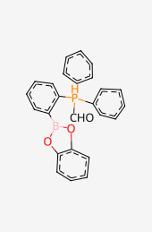 O=C[PH](c1ccccc1)(c1ccccc1)c1ccccc1B1Oc2ccccc2O1